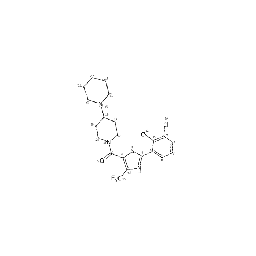 O=C(c1sc(-c2cccc(Cl)c2Cl)nc1C(F)(F)F)N1CCC(N2CCCCC2)CC1